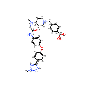 CN(CC(=O)Nc1ccc(Oc2ccc(-c3nnn(C)n3)cc2)cc1)C1CCN(Cc2ccc(C(=O)O)cc2)CC1